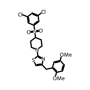 COc1ccc(OC)c(Cc2csc(N3CCC(S(=O)(=O)c4cc(Cl)cc(Cl)c4)CC3)n2)c1